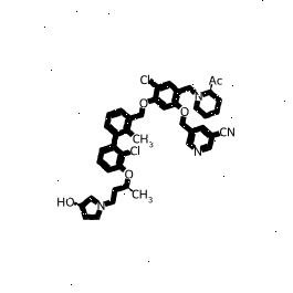 CC(=O)[C@@H]1CCCCN1Cc1cc(Cl)c(OCc2cccc(-c3cccc(O[C@H](C)CCN4CC[C@@H](O)C4)c3Cl)c2C)cc1OCc1cncc(C#N)c1